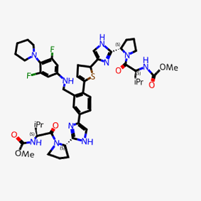 COC(=O)N[C@H](C(=O)N1CCC[C@H]1c1nc(-c2ccc(C3=CCC(c4c[nH]c([C@@H]5CCCN5C(=O)[C@@H](NC(=O)OC)C(C)C)n4)S3)c(CNc3cc(F)c(N4CCCCC4)c(F)c3)c2)c[nH]1)C(C)C